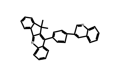 CC1(C)c2ccccc2-c2nc3ccccc3c(-c3ccc(-c4cnc5ccccc5c4)cc3)c21